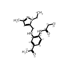 CCn1nc(C)cc1CNc1cc(C(C)=O)ccc1NC(=O)CCl